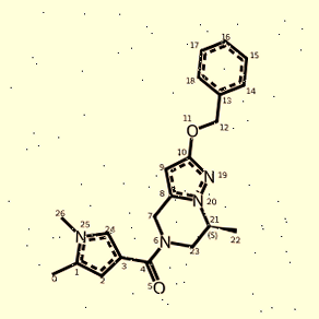 Cc1cc(C(=O)N2Cc3cc(OCc4ccccc4)nn3[C@@H](C)C2)cn1C